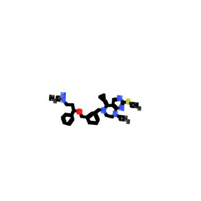 CNCCC(OCc1cccc(CN2CCN(C)c3nc(SC)ncc3C2=C2CC2)c1)c1ccccc1